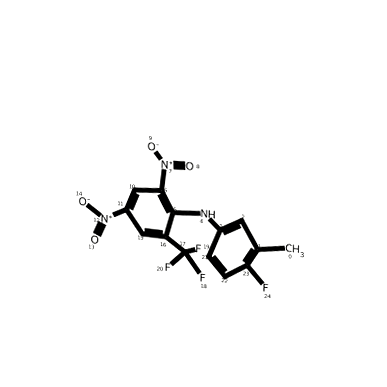 Cc1cc(Nc2c([N+](=O)[O-])cc([N+](=O)[O-])cc2C(F)(F)F)ccc1F